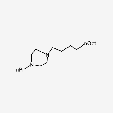 C[CH]CN1CCN(CCCCCCCCCCCC)CC1